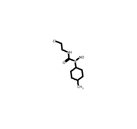 CC1CCC(N(N=O)C(=O)NCCCl)CC1